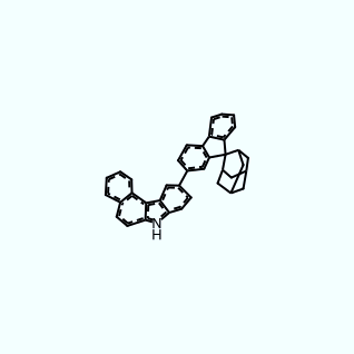 c1ccc2c(c1)-c1ccc(-c3ccc4[nH]c5ccc6ccccc6c5c4c3)cc1C21C2CC3CC(C2)CC1C3